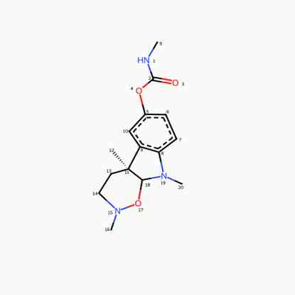 CNC(=O)Oc1ccc2c(c1)[C@]1(C)CCN(C)OC1N2C